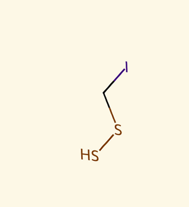 SSCI